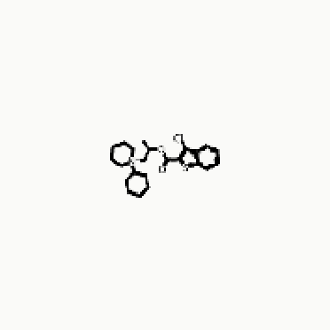 CC(C[N+]1(C2CCCCC2)CCCCC1)OC(=O)c1sc2ccccc2c1Cl